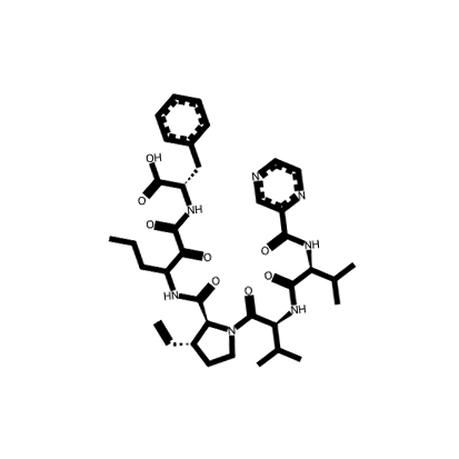 C=C[C@H]1CCN(C(=O)[C@@H](NC(=O)[C@@H](NC(=O)c2cnccn2)C(C)C)C(C)C)[C@@H]1C(=O)NC(CCC)C(=O)C(=O)N[C@@H](Cc1ccccc1)C(=O)O